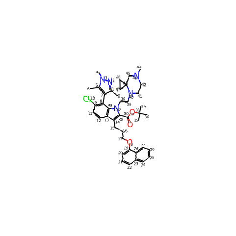 Cc1nn(C)c(C)c1-c1c(Cl)ccc2c(CCCOc3cccc4ccccc34)c(C(=O)OC(C)(C)C)n(CCN3CCN(C)CC34CC4)c12